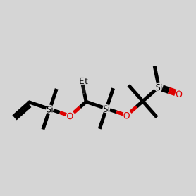 C=C[Si](C)(C)OC(CC)[Si](C)(C)OC(C)(C)[Si](C)=O